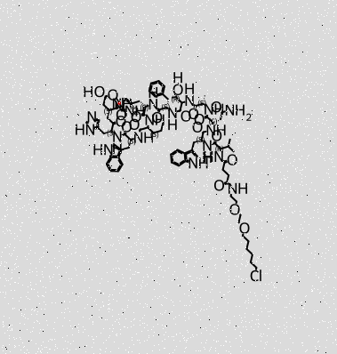 CC[C@H](C)C(NC(=O)[C@H](Cc1cnc[nH]1)NC(=O)[C@H](Cc1ccccc1)NC(=O)C(NC(=O)[C@H](C)NC(=O)[C@H](CC(N)=O)NC(=O)[C@H](Cc1c[nH]c2ccccc12)NC(=O)[C@H](NC(=O)CCC(=O)NCCOCCOCCCCCCCl)C(C)C)[C@@H](C)O)C(=O)N[C@@H](Cc1c[nH]c2ccccc12)C(=O)N[C@@H](Cc1cnc[nH]1)C(=O)C[C@@H](CC(=O)O)C(N)=O